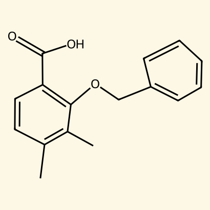 Cc1ccc(C(=O)O)c(OCc2ccccc2)c1C